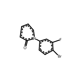 O=c1ccccn1-c1ccc(Br)c(F)c1